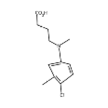 Cc1cc(N(C)CCCC(=O)O)ccc1Cl